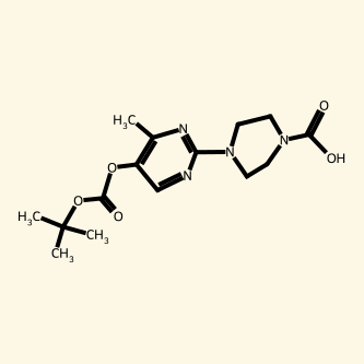 Cc1nc(N2CCN(C(=O)O)CC2)ncc1OC(=O)OC(C)(C)C